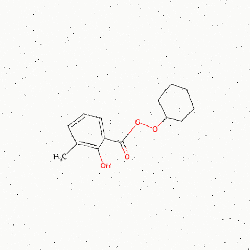 Cc1cccc(C(=O)OOC2CCCCC2)c1O